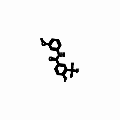 COc1cccc(NC(=O)c2ccc(F)c(C(F)(F)F)c2)c1